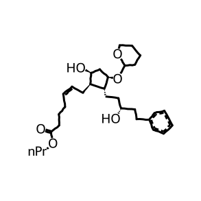 CCCOC(=O)CCC/C=C\C[C@@H]1[C@@H](CC[C@@H](O)CCc2ccccc2)[C@H](OC2CCCCO2)C[C@@H]1O